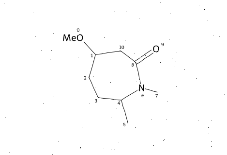 COC1CCC(C)N(C)C(=O)C1